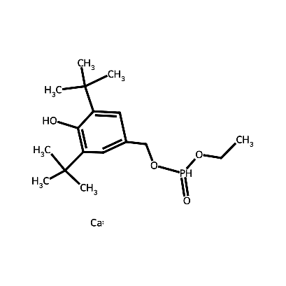 CCO[PH](=O)OCc1cc(C(C)(C)C)c(O)c(C(C)(C)C)c1.[Ca]